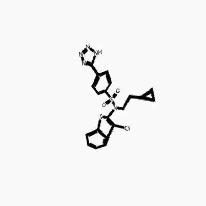 O=S(=O)(c1ccc(-c2nnn[nH]2)cc1)N(CCC1CC1)c1sc2ccccc2c1Cl